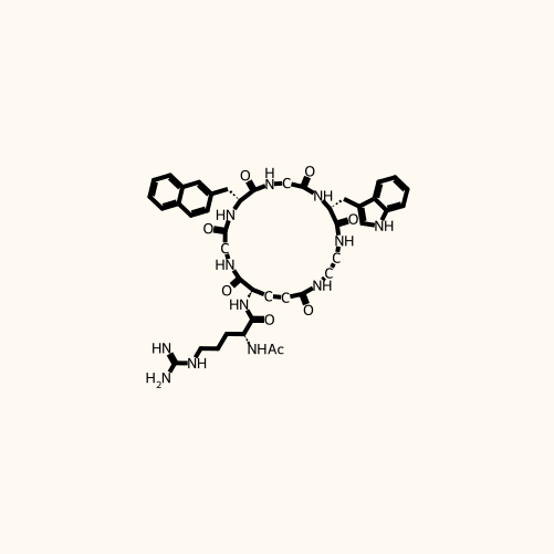 CC(=O)N[C@H](CCCNC(=N)N)C(=O)N[C@H]1CCC(=O)NCCNC(=O)[C@@H](Cc2c[nH]c3ccccc23)NC(=O)CNC(=O)[C@@H](Cc2ccc3ccccc3c2)NC(=O)CNC1=O